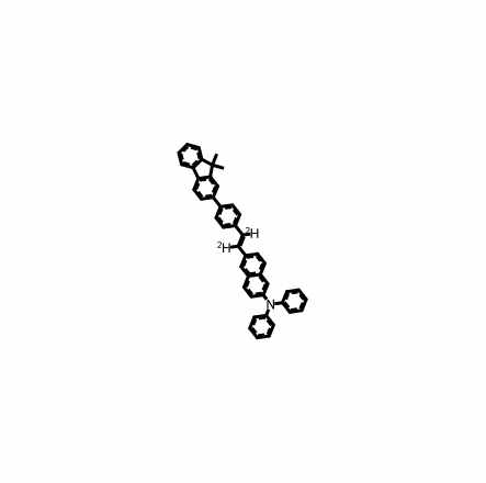 [2H]/C(=C(/[2H])c1ccc2cc(N(c3ccccc3)c3ccccc3)ccc2c1)c1ccc(-c2ccc3c(c2)C(C)(C)c2ccccc2-3)cc1